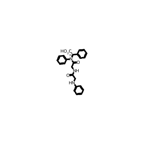 O=C(CNc1ccccc1)NCC(=O)N(c1ccccc1)[C@H](C(=O)O)c1ccccc1